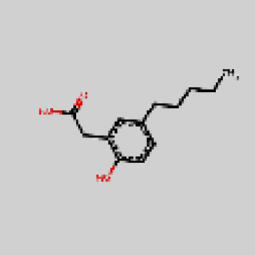 CCCCCc1ccc(O)c(CC(=O)O)c1